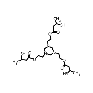 CC(S)CC(=O)OCCN1CN(CCOC(=O)CC(C)S)CN(CCOC(=O)CC(C)S)C1